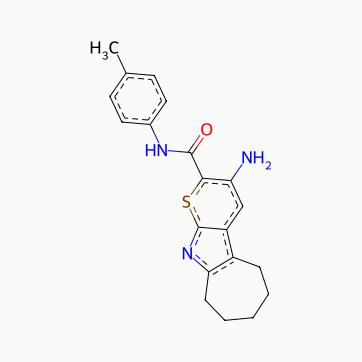 Cc1ccc(NC(=O)c2sc3nc4c(c-3cc2N)CCCCC4)cc1